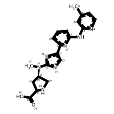 Cc1ccnc(Nc2cccc(-c3cnc(N(C)[C@H]4CNC(C(=O)O)C4)s3)n2)c1